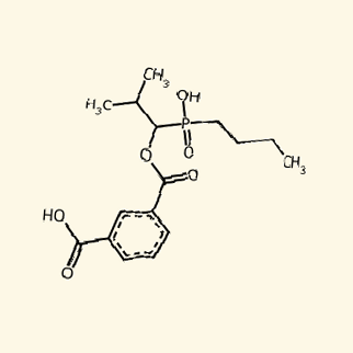 CCCCP(=O)(O)C(OC(=O)c1cccc(C(=O)O)c1)C(C)C